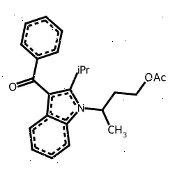 CC(=O)OCCC(C)n1c(C(C)C)c(C(=O)c2ccccc2)c2ccccc21